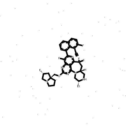 C#Cc1c(F)ccc2cccc(-c3nc4c5c(nc(OC[C@@]67CCCN6C[C@H](F)C7)nc5c3F)N3C[C@@H](CC)NC[C@H]3CC4(F)F)c12